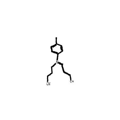 Cc1ccc(N(CCCC#N)CCCC#N)cc1